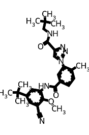 COc1c(C#N)cc(C(C)(C)C)cc1NC(=O)c1ccc(C)c(-n2cc(C(=O)NCC(C)(C)C)nn2)c1